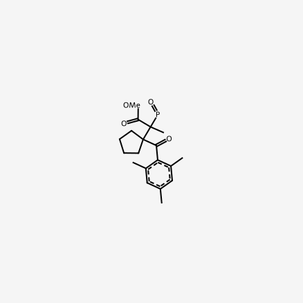 COC(=O)C(C)(P=O)C1(C(=O)c2c(C)cc(C)cc2C)CCCC1